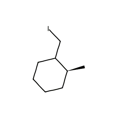 C[C@H]1CCCCC1CI